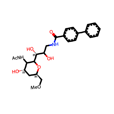 COC[C@H]1C[C@H](O)C(NC(C)=O)C([C@H](O)C(O)CNC(=O)c2ccc(-c3ccccc3)cc2)O1